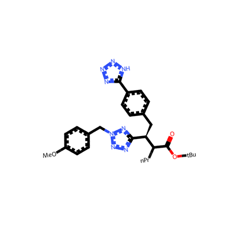 CCCC(C(=O)OC(C)(C)C)[C@H](Cc1ccc(-c2nnn[nH]2)cc1)c1nnn(Cc2ccc(OC)cc2)n1